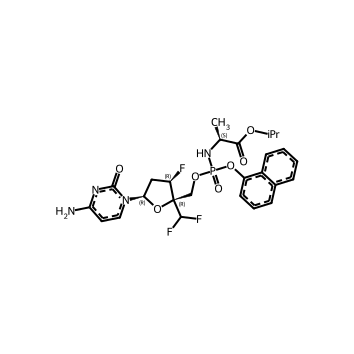 CC(C)OC(=O)[C@H](C)NP(=O)(OC[C@@]1(C(F)F)O[C@@H](n2ccc(N)nc2=O)C[C@H]1F)Oc1cccc2ccccc12